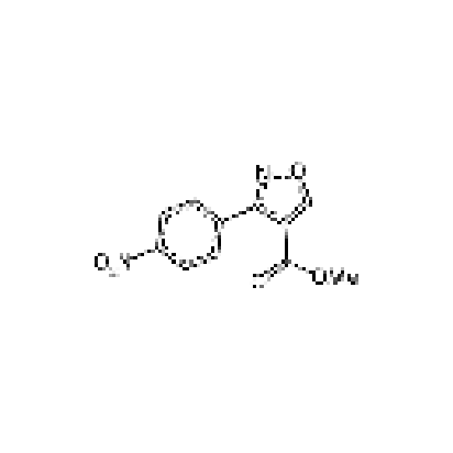 COC(=O)c1conc1-c1ccc([N+](=O)[O-])cc1